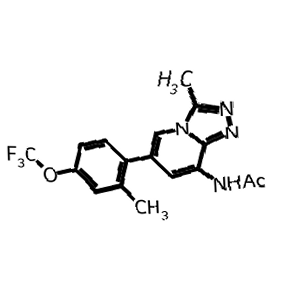 CC(=O)Nc1cc(-c2ccc(OC(F)(F)F)cc2C)cn2c(C)nnc12